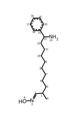 CC(C=NO)CCCCCCCCC(N)c1ccccc1